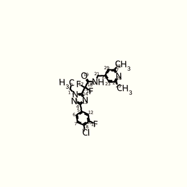 CCn1nc(-c2ccc(Cl)c(F)c2)nc1C(F)(F)C(=O)NCc1cc(C)nc(C)c1